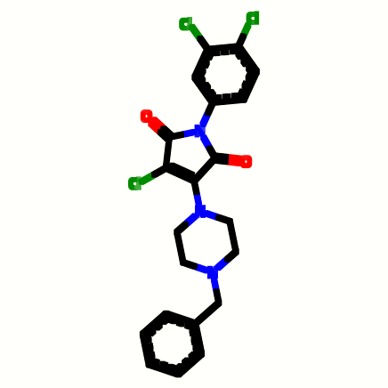 O=C1C(Cl)=C(N2CCN(Cc3ccccc3)CC2)C(=O)N1c1ccc(Cl)c(Cl)c1